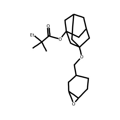 CCC(C)(C)C(=O)OC12CC3CC(CC(OCC4CCC5OC5C4)(C3)C1)C2